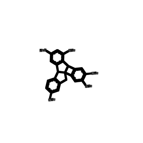 COc1ccc2c(c1)CC13c4cc(OC)c(OC)cc4C1c1c(OC)cc(OC)cc1C23